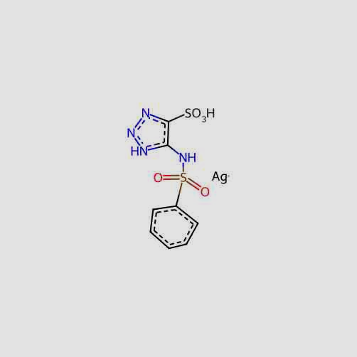 O=S(=O)(O)c1nn[nH]c1NS(=O)(=O)c1ccccc1.[Ag]